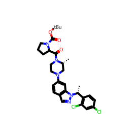 C[C@@H]1CN(c2ccc3cnn([C@H](C)c4ccc(Cl)cc4Cl)c3c2)CCN1C(=O)C1CCCN1C(=O)OC(C)(C)C